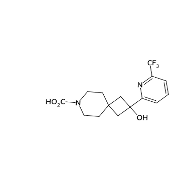 O=C(O)N1CCC2(CC1)CC(O)(c1cccc(C(F)(F)F)n1)C2